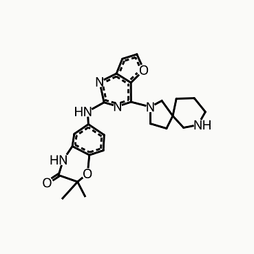 CC1(C)Oc2ccc(Nc3nc(N4CCC5(CCCNC5)C4)c4occc4n3)cc2NC1=O